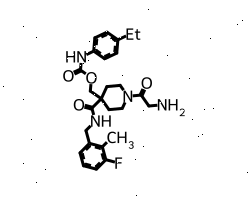 CCc1ccc(NC(=O)OCC2(C(=O)NCc3cccc(F)c3C)CCN(C(=O)CN)CC2)cc1